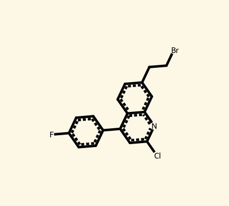 Fc1ccc(-c2cc(Cl)nc3cc(CCBr)ccc23)cc1